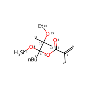 C=C(C)C(=O)OC(CCCC)(O[SiH3])C(C)(C)OCC